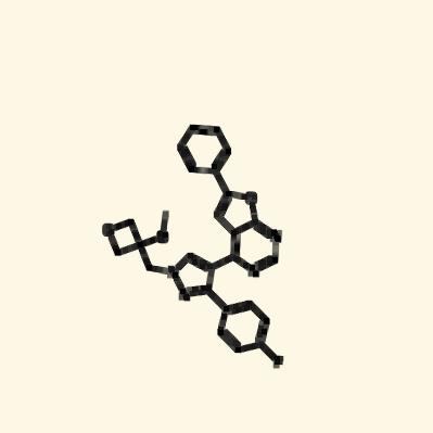 COC1(Cn2cc(-c3ncnc4oc(-c5ccccc5)cc34)c(-c3ccc(F)cc3)n2)COC1